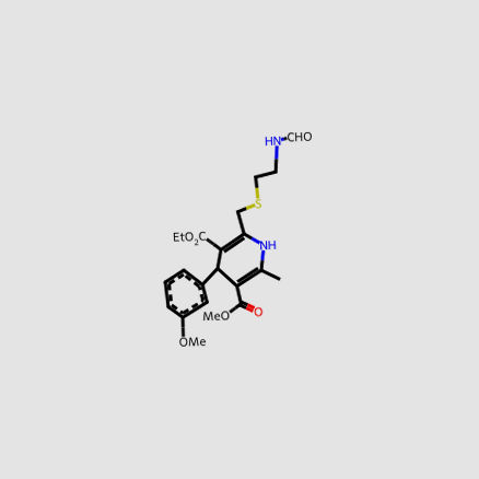 CCOC(=O)C1=C(CSCCNC=O)NC(C)=C(C(=O)OC)C1c1cccc(OC)c1